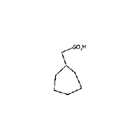 O=S(=O)(O)CC1[CH]CCCC1